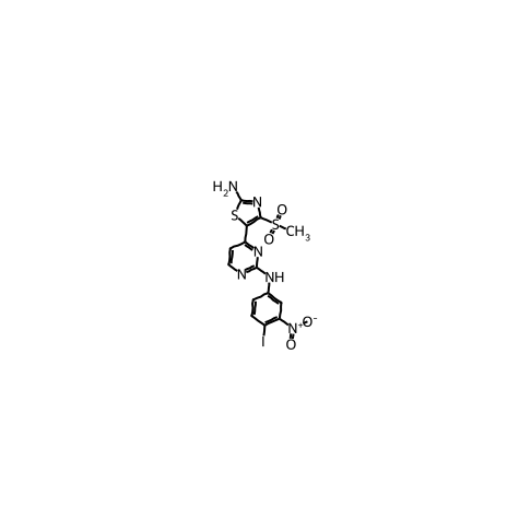 CS(=O)(=O)c1nc(N)sc1-c1ccnc(Nc2ccc(I)c([N+](=O)[O-])c2)n1